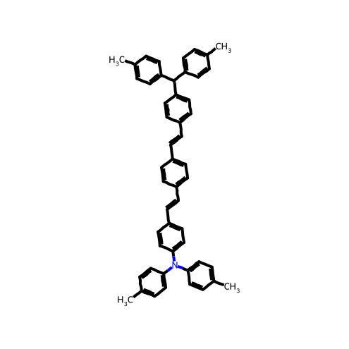 Cc1ccc(C(c2ccc(C)cc2)c2ccc(C=Cc3ccc(C=Cc4ccc(N(c5ccc(C)cc5)c5ccc(C)cc5)cc4)cc3)cc2)cc1